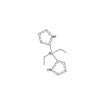 C[CH2][Ru]([CH2]C)([c]1ccc[nH]1)[c]1ccc[nH]1